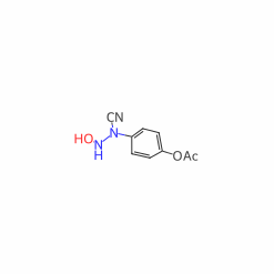 CC(=O)Oc1ccc(N(C#N)NO)cc1